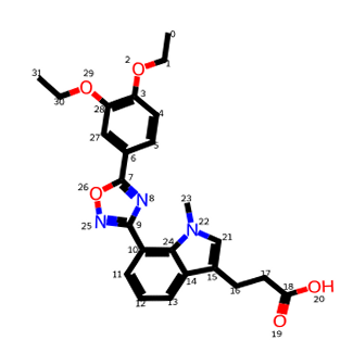 CCOc1ccc(-c2nc(-c3cccc4c(CCC(=O)O)cn(C)c34)no2)cc1OCC